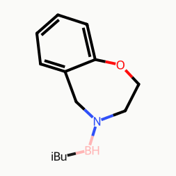 CCC(C)BN1CCOc2ccccc2C1